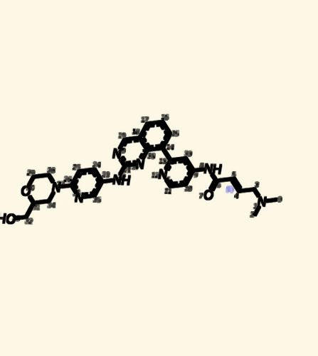 CN(C)C/C=C/C(=O)Nc1ccnc(-c2cccc3cnc(Nc4ccc(N5CCOC(CO)C5)nc4)nc23)c1